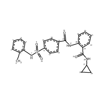 Cc1ccccc1NS(=O)(=O)c1ccc(C(=O)Nc2ccccc2C(=O)NC2CC2)cc1